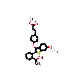 COC(=O)/C=C/c1ccc(Oc2c(-c3ccccc3C(C)O)sc3cc(OC)ccc23)cc1